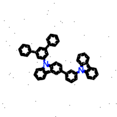 c1ccc(-c2cc(-c3ccccc3)cc(-n3c4ccccc4c4cc(-c5cccc(-n6c7ccccc7c7ccccc76)c5)ccc43)c2)cc1